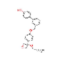 O=C(O)COC1(c2ccc(OCc3cccc(-c4ccc(O)cc4)c3)cc2)COC1